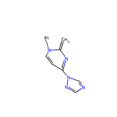 C=C1N=C(n2cncn2)C=CN1C(C)C